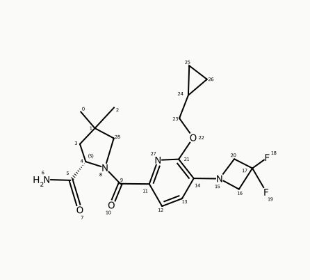 CC1(C)C[C@@H](C(N)=O)N(C(=O)c2ccc(N3CC(F)(F)C3)c(OCC3CC3)n2)C1